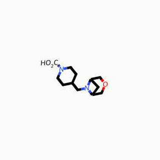 O=C(O)N1CCC(CN2C3COCC2C3)CC1